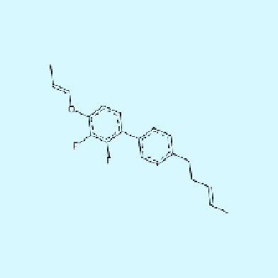 C/C=C/CCc1ccc(-c2ccc(O/C=C/C)c(F)c2F)cc1